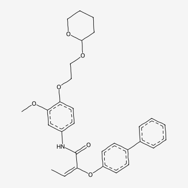 CC=C(Oc1ccc(-c2ccccc2)cc1)C(=O)Nc1ccc(OCCOC2CCCCO2)c(OC)c1